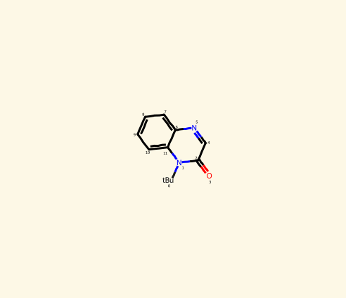 CC(C)(C)n1c(=O)cnc2ccccc21